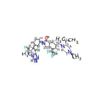 CC(C)[C@H]1CN(C)CCN1Cc1cc2c(c(C(F)(F)F)c1)CN(c1cccc(C3([C@H](F)c4nncn4C)CC(F)(F)C3)c1)C2=O